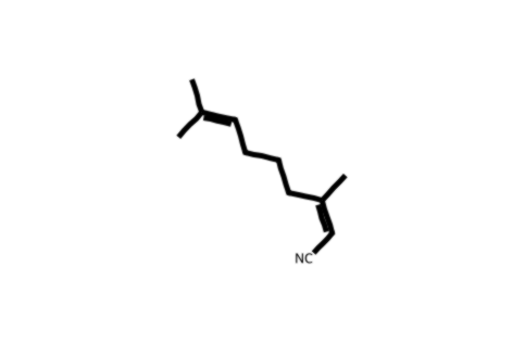 CC(C)=CCCC/C(C)=C\C#N